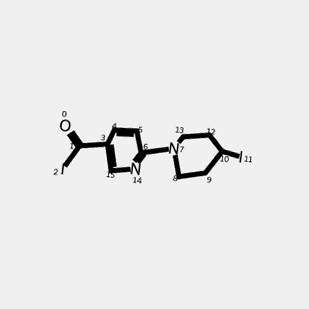 O=C(I)c1ccc(N2CCC(I)CC2)nc1